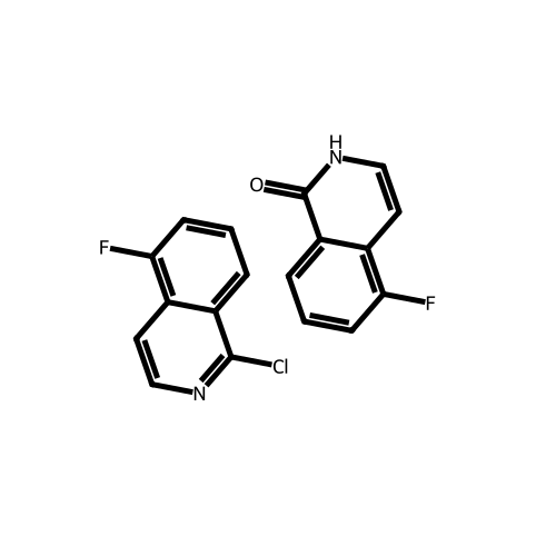 Fc1cccc2c(Cl)nccc12.O=c1[nH]ccc2c(F)cccc12